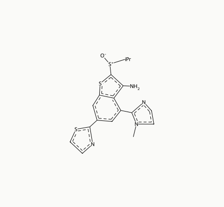 CC(C)[S+]([O-])c1sc2cc(-c3nccs3)cc(-c3nccn3C)c2c1N